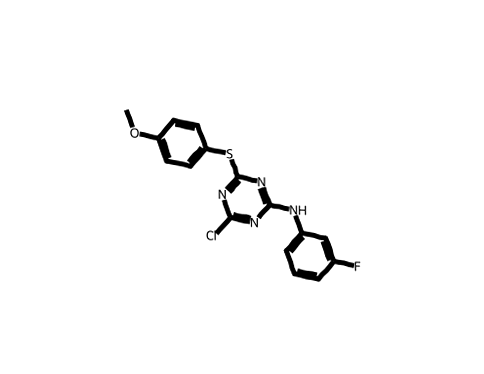 COc1ccc(Sc2nc(Cl)nc(Nc3cccc(F)c3)n2)cc1